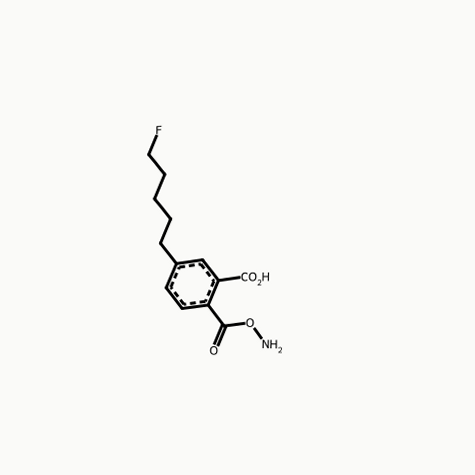 NOC(=O)c1ccc(CCCCCF)cc1C(=O)O